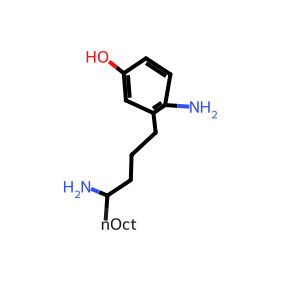 CCCCCCCCC(N)CCCc1cc(O)ccc1N